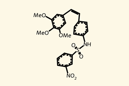 COc1cc(/C=C\c2ccc(NS(=O)(=O)c3cccc([N+](=O)[O-])c3)cc2)cc(OC)c1OC